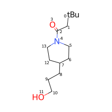 CC(C)(C)CC(=O)N1CCC(CCCO)CC1